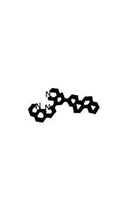 c1ccc2c(c1)ccc1c3ccc(-c4cc(-c5ccc6ccc7cccnc7c6n5)c5cnccc5c4)cc3ccc21